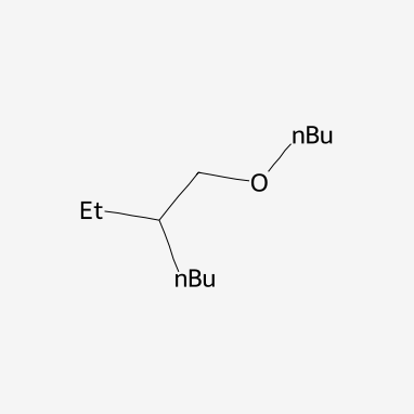 [CH2]CCCOCC(CC)CCCC